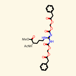 COC(=O)[C@H](CCCN/C(=N\C(=O)OCOC(=O)Cc1ccccc1)NC(=O)OCOC(=O)Cc1ccccc1)NC(C)=O